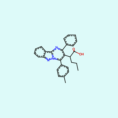 CCCC(C(=O)O)c1c(-c2ccccc2)nc2c3ccccc3nn2c1-c1ccc(C)cc1